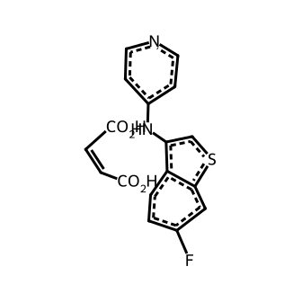 Fc1ccc2c(Nc3ccncc3)csc2c1.O=C(O)/C=C\C(=O)O